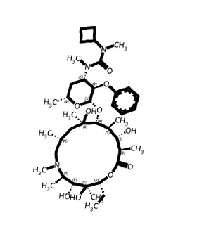 CC[C@H]1OC(=O)[C@H](C)[C@@H](O)[C@H](C)[C@@H](O[C@@H]2O[C@H](C)C[C@H](N(C)C(=O)N(C)C3CCC3)[C@H]2Oc2ccccc2)[C@](C)(O)C[C@@H](C)CN(C)[C@H](C)[C@@H](O)[C@]1(C)O